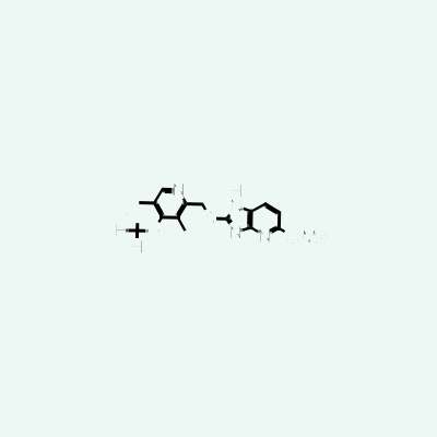 [2H]C([2H])([2H])Oc1c(C)cnc(CSc2nc3nc(OC)ccc3[nH]2)c1C